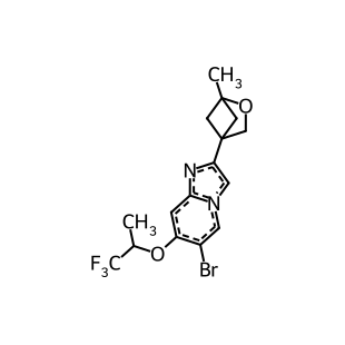 CC(Oc1cc2nc(C34COC(C)(C3)C4)cn2cc1Br)C(F)(F)F